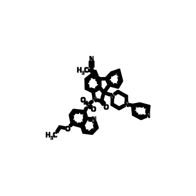 CCOc1ccccc1C1(N2CCN(c3ccncc3)CC2)C(=O)N(S(=O)(=O)c2ccc(OCC)c3cccnc23)c2ccc(C#N)cc21